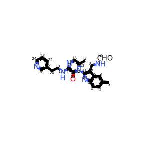 C=c1ccc2c(c1)C(CNC=O)=C(n1c(C)cnc(NCCc3cccnc3)c1=O)N=2